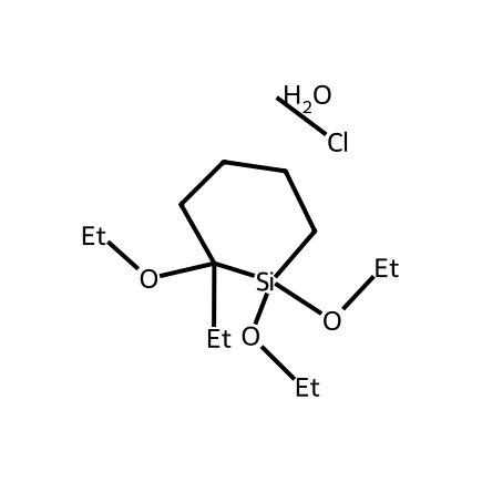 CCOC1(CC)CCCC[Si]1(OCC)OCC.CCl.O